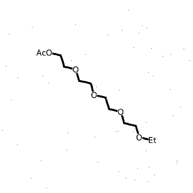 CCOCCOCCOCCOCCOC(C)=O